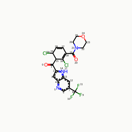 O=C(c1cc2ncc(C(F)(F)F)cc2[nH]1)C1C(Cl)=C(C(=O)N2CCOCC2)C=CC1Cl